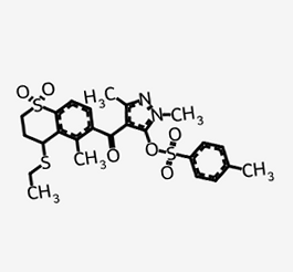 CCSC1CCS(=O)(=O)c2ccc(C(=O)c3c(C)nn(C)c3OS(=O)(=O)c3ccc(C)cc3)c(C)c21